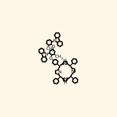 Cc1cccc(-n2c3ccccc3c3ccccc32)c1Oc1cc(C)c(Oc2ccc(-c3c4nc(c(-c5ccccc5)c5ccc([nH]5)c(-c5ccccc5)c5nc(c(-c6ccccc6)c6ccc3[nH]6)C=C5)C=C4)cc2)c(-n2c3ccccc3c3ccccc32)c1